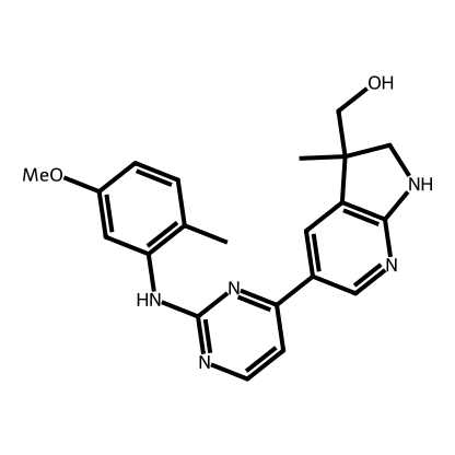 COc1ccc(C)c(Nc2nccc(-c3cnc4c(c3)C(C)(CO)CN4)n2)c1